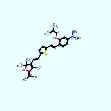 [C-]#[N+]C1=C(/C=C/c2ccc(/C=C/c3ccc(N(CCCC)CCCC)cc3OCC(=C)C)s2)C(C)(C)OC1=C(C#N)C#N